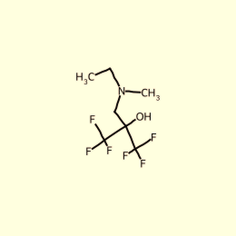 CCN(C)CC(O)(C(F)(F)F)C(F)(F)F